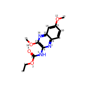 CCOC(=O)Nc1nc2ccc(OC)cc2nc1OC